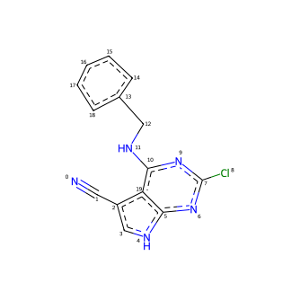 N#Cc1c[nH]c2nc(Cl)nc(NCc3ccccc3)c12